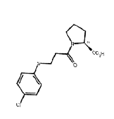 O=C(O)[C@@H]1CCCN1C(=O)CCSc1ccc(Cl)cc1